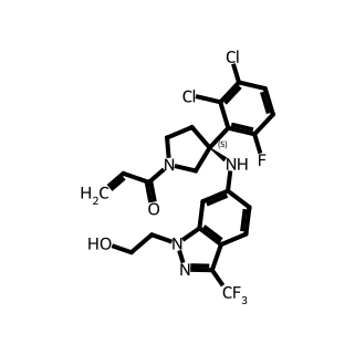 C=CC(=O)N1CC[C@](Nc2ccc3c(C(F)(F)F)nn(CCO)c3c2)(c2c(F)ccc(Cl)c2Cl)C1